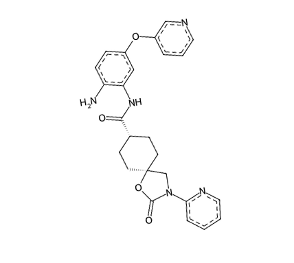 Nc1ccc(Oc2cccnc2)cc1NC(=O)[C@H]1CC[C@]2(CC1)CN(c1ccccn1)C(=O)O2